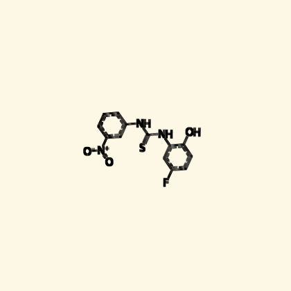 O=[N+]([O-])c1cccc(NC(=S)Nc2cc(F)ccc2O)c1